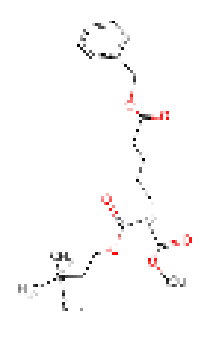 CC(C)(C)OC(=O)[C@@H](CCCCC(=O)OCc1ccccc1)C(=O)OCC[Si](C)(C)C